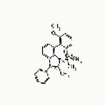 COc1cccc(OC)c1-c1cccc2c1[P@@](C(C)(C)C)[C@@H](C)N2c1ccccc1